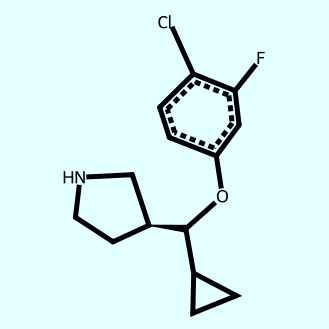 Fc1cc(OC(C2CC2)[C@H]2CCNC2)ccc1Cl